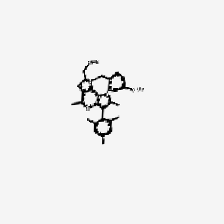 COCc1cc2c(C)nc3c(-c4c(C)cc(C)cc4C)c(C)nn3c2n1Cc1ccc(OC)cc1